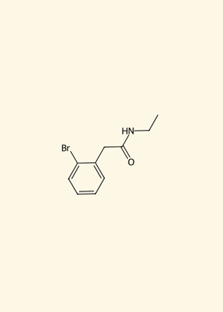 CCNC(=O)Cc1ccccc1Br